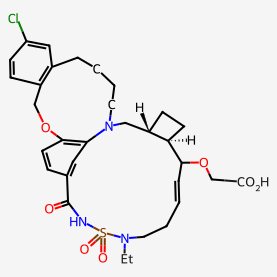 CCN1CC/C=C/C(OCC(=O)O)[C@@H]2CC[C@H]2CN2CCCCc3cc(Cl)ccc3COc3ccc(cc32)C(=O)NS1(=O)=O